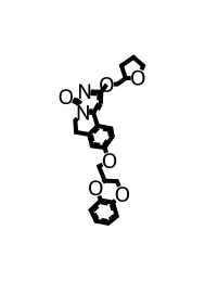 O=c1nc(OCC2CCCO2)cc2n1CCc1cc(OCC3COc4ccccc4O3)ccc1-2